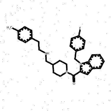 Cc1ccc(CCNCC2CCN(C(=O)c3cc4ccccc4n3Cc3ccc(F)cc3)CC2)cc1